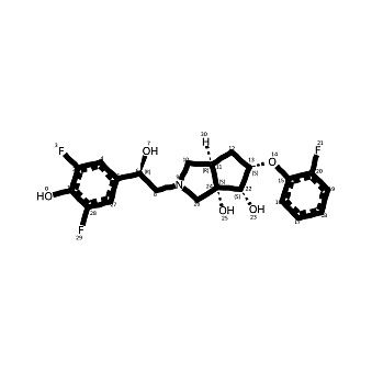 Oc1c(F)cc([C@@H](O)CN2C[C@H]3C[C@H](Oc4ccccc4F)[C@H](O)[C@@]3(O)C2)cc1F